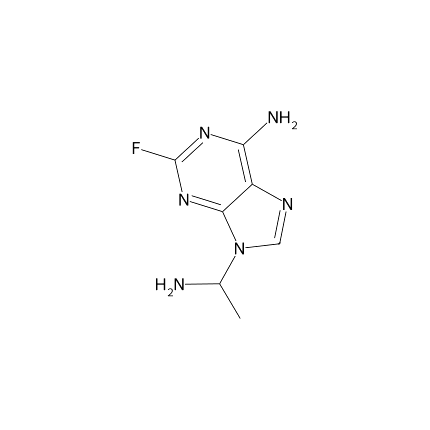 CC(N)n1cnc2c(N)nc(F)nc21